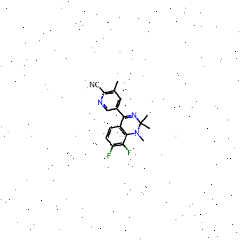 Cc1cc(C2=NC(C)(C)N(C)c3c2ccc(F)c3F)cnc1C#N